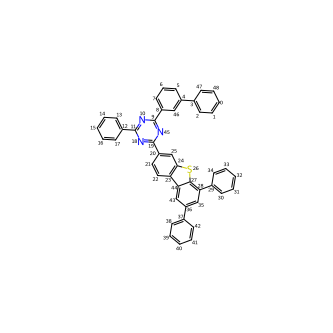 c1ccc(-c2cccc(-c3nc(-c4ccccc4)nc(-c4ccc5c(c4)sc4c(-c6ccccc6)cc(-c6ccccc6)cc45)n3)c2)cc1